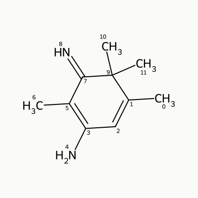 CC1=CC(N)=C(C)C(=N)C1(C)C